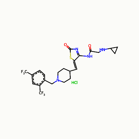 Cl.O=C(CNC1CC1)NC1=NC(=O)S/C1=C\C1CCN(Cc2ccc(C(F)(F)F)cc2C(F)(F)F)CC1